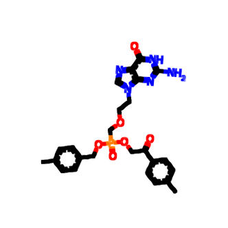 Cc1ccc(COP(=O)(COCCn2cnc3c(=O)[nH]c(N)nc32)OCC(=O)c2ccc(C)cc2)cc1